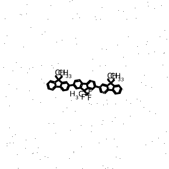 CCC1(CC)c2ccccc2-c2ccc(-c3ccc4c(c3)C(C)(C(F)(F)F)c3cc(-c5ccc6c(c5)C(CC)(CC)c5ccccc5-6)ccc3-4)cc21